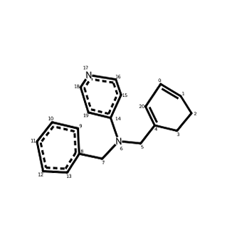 C1=CCCC(CN(Cc2ccccc2)c2ccncc2)=C1